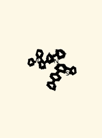 c1ccc(-c2ccc(-c3cc(-n4c5ccccc5c5ccc(-c6cccc7c6c6ccccc6n7-c6ccccc6)cc54)cc4c3sc3ccccc34)cc2)cc1